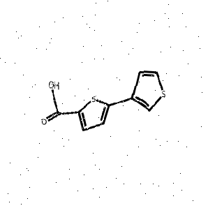 O=C(O)c1ccc(-c2ccsc2)s1